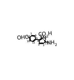 Nc1ccc(-c2ccc(C=O)cc2)c(C(=O)O)n1